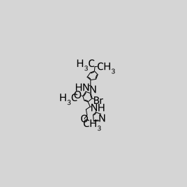 COCCC(Nc1cccnc1)c1cc(OC)c2[nH]c(-c3ccc(C(C)C)cc3)nc2c1Br